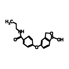 CCCNC(=O)c1ccc(Oc2ccc3c(c2)COB3O)cc1